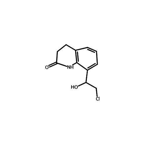 O=C1CCc2cccc(C(O)CCl)c2N1